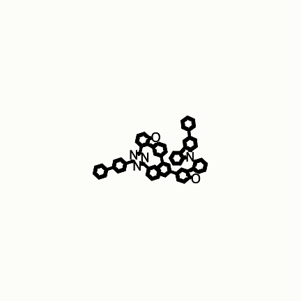 c1ccc(-c2ccc(-c3nc(-c4ccccc4)nc(-c4cccc5oc6ccc(-c7cccc(-c8ccc9oc%10cccc(-n%11c%12ccccc%12c%12cc(-c%13ccccc%13)ccc%12%11)c%10c9c8)c7)cc6c45)n3)cc2)cc1